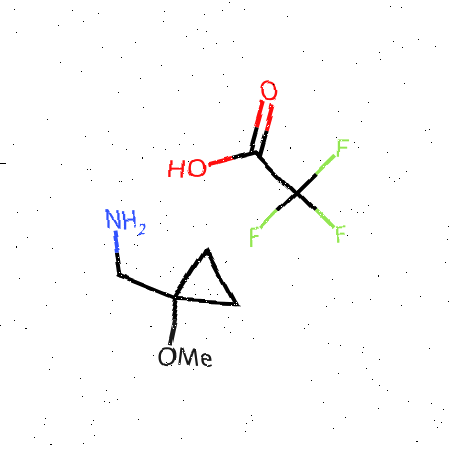 COC1(CN)CC1.O=C(O)C(F)(F)F